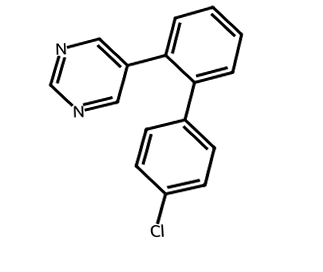 Clc1ccc(-c2ccccc2-c2cncnc2)cc1